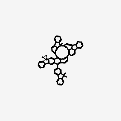 CC1(C)c2ccccc2-c2ccc(-c3c4ccc5cc4c(c4cc6c(cc34)-c3ccccc3[Si]6(C)C)-c3ccc4c(c3)C(C)(C3=CC6=C5C=CC5c7ccccc7C(=C3)C65)c3ccccc3-4)cc21